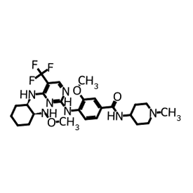 CON[C@H]1CCCC[C@H]1Nc1nc(Nc2ccc(C(=O)NC3CCN(C)CC3)cc2OC)ncc1C(F)(F)F